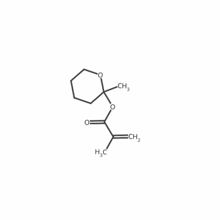 C=C(C)C(=O)OC1(C)CCCCO1